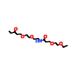 CCOCCOCCC(=O)NCCOCCOCCC(=O)CC